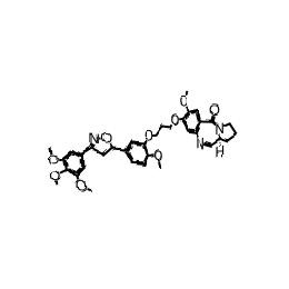 COc1ccc(C2CC(c3cc(OC)c(OC)c(OC)c3)=NO2)cc1OCCCOc1cc2c(cc1OC)C(=O)N1CCC[C@H]1C=N2